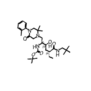 CC[C@H](C[C@H](O)[C@H](CN1CC(=O)N(c2ccccc2C)CC1(C)C)NC(=O)OC(C)(C)C)C(=O)NCC(C)(C)C